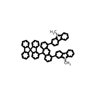 Cn1c2ccccc2c2ccc(-c3cccc4c(-c5cccc6c5-c5ccccc5C65c6ccccc6-c6ccccc65)c5cccc(-c6ccc7c8ccccc8n(C)c7c6)c5cc34)cc21